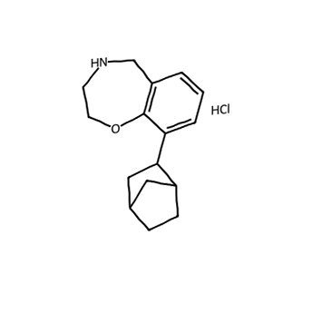 Cl.c1cc2c(c(C3CC4CCC3C4)c1)OCCNC2